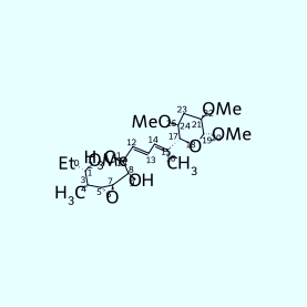 CC[C@H](OC)[C@@H](C)[C@H]1O[C@@H]1[C@H](O)[C@@H](C)/C=C/C=C(\C)[C@H]1O[C@@H](OC)[C@H](OC)C[C@@H]1OC